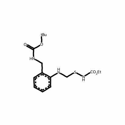 CCOC(=O)NSCNc1ccccc1CNC(=O)OC(C)(C)C